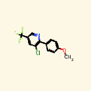 COc1ccc(-c2ncc(C(F)(F)F)cc2Cl)cc1